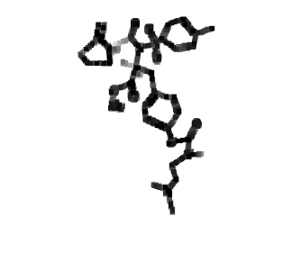 Cc1ccc(S(=O)(=O)N(C(=O)[C@@H]2CCCN2)[C@@](C)(Cc2ccc(OC(=O)N(C)CCN(C)C)cc2)C(=O)OC(C)(C)C)cc1